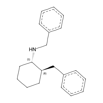 c1ccc(CN[C@H]2CCCC[C@@H]2Cc2ccccc2)cc1